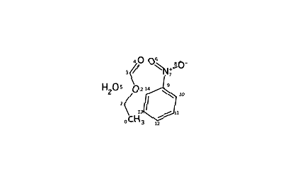 CCOC=O.O.O=[N+]([O-])c1ccccc1